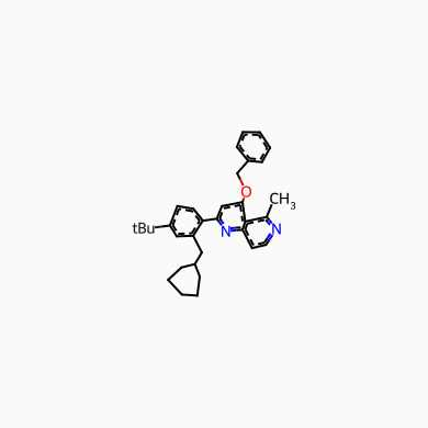 Cc1nccc2nc(-c3ccc(C(C)(C)C)cc3CC3CCCCC3)cc(OCc3ccccc3)c12